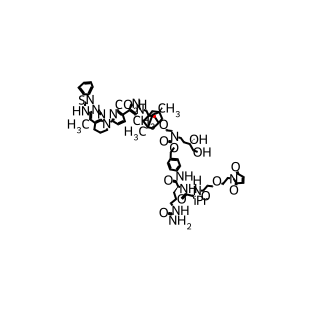 Cc1c(Nc2nc3ccccc3s2)nnc2c1CCCN2c1ccc(-c2cnn(CC34CC5(OCCN(CC[C@H](O)CO)C(=O)OCc6ccc(NC(=O)[C@H](CCCNC(N)=O)NC(=O)[C@@H](NC(=O)CCOCCN7C(=O)C=CC7=O)C(C)C)cc6)C[C@](C)(C3)C[C@](C)(C4)C5)c2C)c(C(=O)O)n1